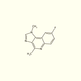 Cc1nc2ccc(F)cc2c2c1ncn2C